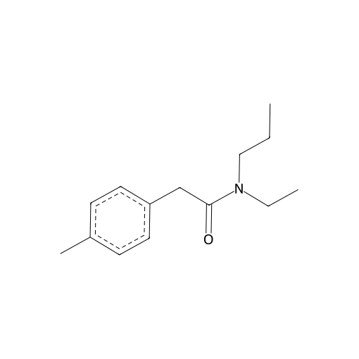 CCCN(CC)C(=O)Cc1ccc(C)cc1